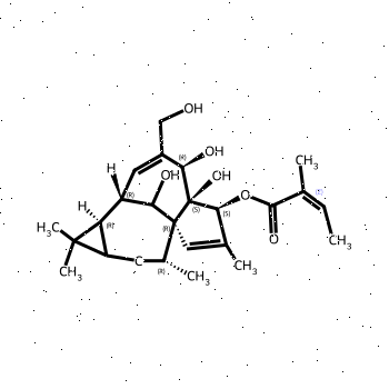 C/C=C(/C)C(=O)O[C@H]1C(C)=C[C@]23C(O)[C@@H](C=C(CO)[C@@H](O)[C@]12O)[C@H]1C(C[C@H]3C)C1(C)C